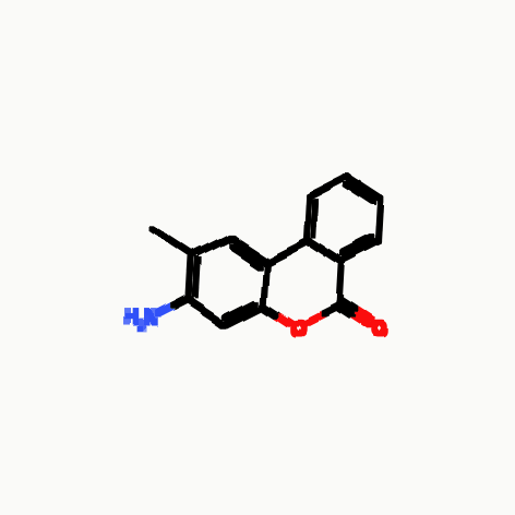 Cc1cc2c(cc1N)oc(=O)c1ccccc12